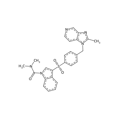 Cc1nc2cnccc2n1Cc1ccc(S(=O)(=O)c2cn(C(=O)N(C)C)c3ccccc23)cc1